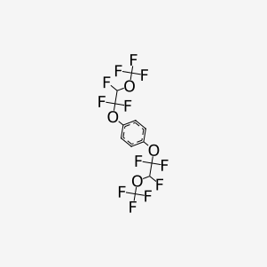 FC(OC(F)(F)F)C(F)(F)Oc1ccc(OC(F)(F)C(F)OC(F)(F)F)cc1